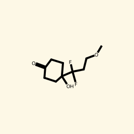 COCCC(F)(F)C1(O)CCC(=O)CC1